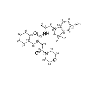 C[C@@H](CN1CC(C)(C)c2cc(F)ccc21)NC(=O)[C@@H](CC(=O)N1CCOCC1)CC1CCCCC1